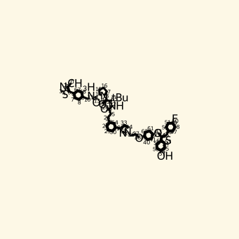 Cc1ncsc1-c1ccc(CNC(=O)[C@@H]2CCCN2C(=O)C(NC(=O)CCc2cccc(-c3ccn(CCOc4ccc(Oc5c(-c6ccc(F)cc6)sc6cc(O)ccc56)cc4)n3)c2)C(C)(C)C)cc1